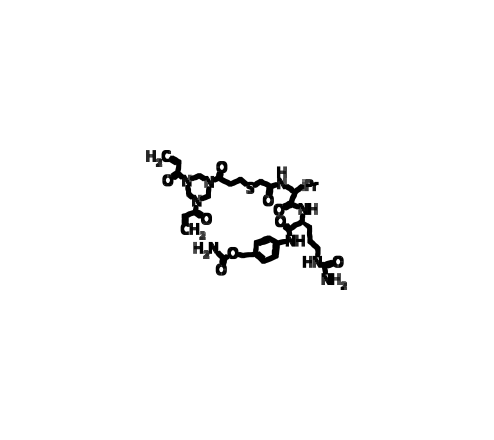 C=CC(=O)N1CN(C(=O)C=C)CN(C(=O)CCSCC(=O)NC(C(=O)N[C@@H](CCCNC(N)=O)C(=O)Nc2ccc(COC(N)=O)cc2)C(C)C)C1